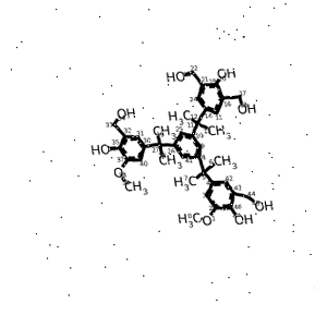 COc1cc(C(C)(C)c2cc(C(C)(C)c3cc(CO)c(O)c(CO)c3)cc(C(C)(C)c3cc(CO)c(O)c(OC)c3)c2)cc(CO)c1O